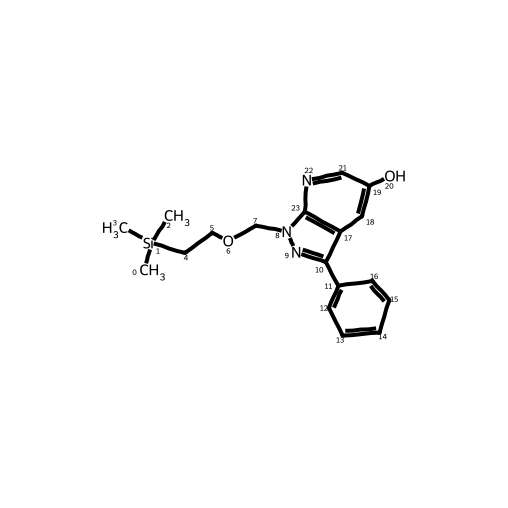 C[Si](C)(C)CCOCn1nc(-c2ccccc2)c2cc(O)cnc21